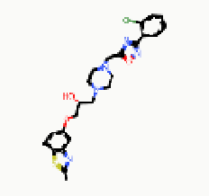 Cc1nc2cc(OC[C@H](O)CN3CCN(Cc4nc(-c5ccccc5Cl)no4)CC3)ccc2s1